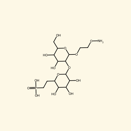 NOCCOC1OC(CO)C(O)C(O)C1OC1OC(CCP(=O)(O)O)C(O)C(O)C1O